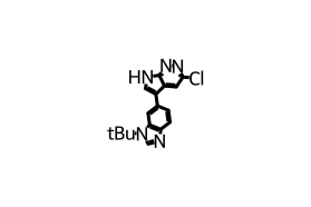 CC(C)(C)n1cnc2ccc(-c3c[nH]c4nnc(Cl)cc34)cc21